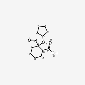 O=CC1(OC2CCCC2)CCCCC1C(=O)O